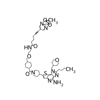 CCCCc1nc2c(N)nc3cc(C4CCN(C(=O)C5CCC(COCCNC(=O)CCCC#Cc6cnc(S(C)(=O)=O)nc6)CC5)CC4)sc3c2n1CC1CCOCC1